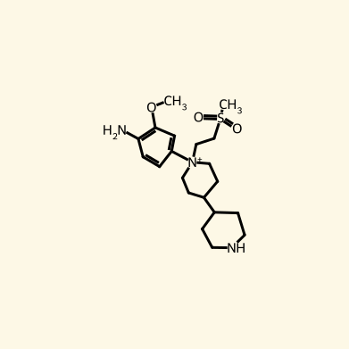 COc1cc([N+]2(CCS(C)(=O)=O)CCC(C3CCNCC3)CC2)ccc1N